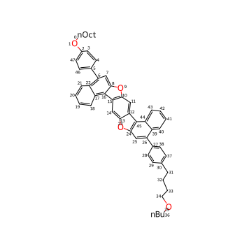 CCCCCCCCOc1ccc(-c2cc3oc4cc5c(cc4c3c3ccccc23)oc2cc(-c3ccc(CCCCOCCCC)cc3)c3ccccc3c25)cc1